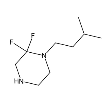 CC(C)CCN1CCNCC1(F)F